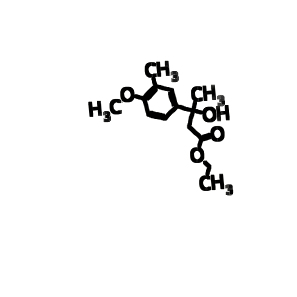 CCOC(=O)CC(C)(O)c1ccc(OC)c(C)c1